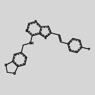 Fc1ccc(C=Cc2cc3ncnc(NCc4ccc5c(c4)OCO5)c3s2)cc1